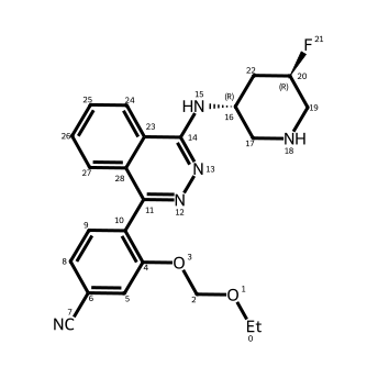 CCOCOc1cc(C#N)ccc1-c1nnc(N[C@H]2CNC[C@H](F)C2)c2ccccc12